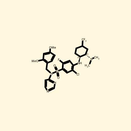 COc1ccc(CN(c2ccncn2)S(=O)(=O)c2cc(Cl)c(N[C@H]3CCC(C(F)(F)F)C[C@@H]3N(C)C)cc2F)c(OC)c1